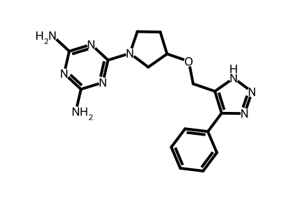 Nc1nc(N)nc(N2CCC(OCc3[nH]nnc3-c3ccccc3)C2)n1